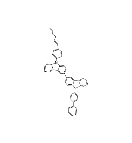 C=CCC/C=C/c1ccc(-n2c3ccccc3c3cc(-c4ccc5c(c4)-c4ccccc4C5c4ccc(-c5ccccc5)cc4)ccc32)cc1